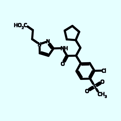 CS(=O)(=O)c1ccc(C(CC2CCCC2)C(=O)Nc2ccn(CCC(=O)O)n2)cc1Cl